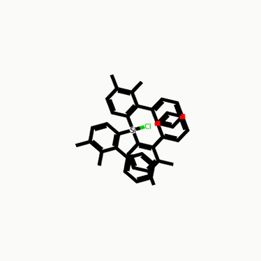 Cc1ccc([Si](Cl)(c2ccc(C)c(C)c2-c2ccccc2)c2ccc(C)c(C)c2-c2ccccc2)c(-c2ccccc2)c1C